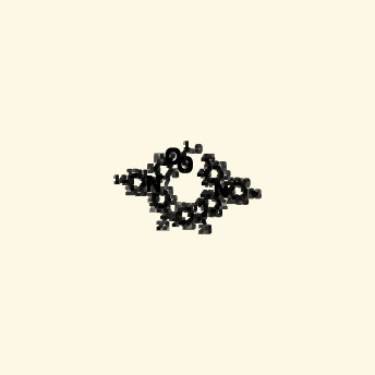 C=CC(=O)Oc1ccc(N(c2ccc(C)cc2)c2ccc(C(C)c3ccc(C(C)c4ccc(N(c5ccc(C)cc5)c5ccc(C)cc5)cc4)cc3)cc2)cc1